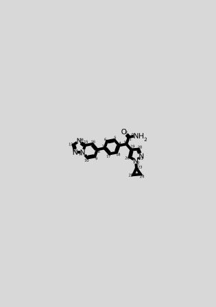 NC(=O)C(c1ccc(-c2ccn3ncnc3c2)cc1)c1cnn(C2CC2)c1